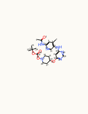 CC(=O)Nc1cc(C)c(Nc2cc(OC3CCN(OC(=O)OC(C)(C)C)CC3)ncn2)cn1